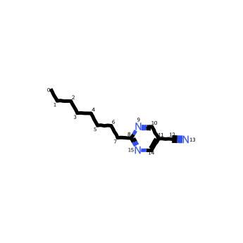 CCCCCCCCc1ncc(C#N)cn1